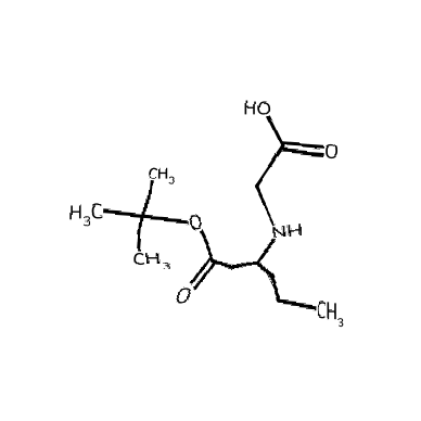 CCC(NCC(=O)O)C(=O)OC(C)(C)C